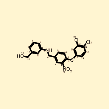 O=[N+]([O-])c1cc(CNc2cccc(CO)c2)ccc1Sc1ccc(Cl)c(Cl)c1